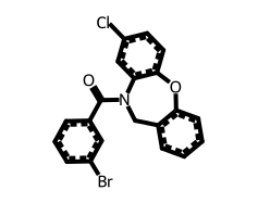 O=C(c1cccc(Br)c1)N1Cc2ccccc2Oc2ccc(Cl)cc21